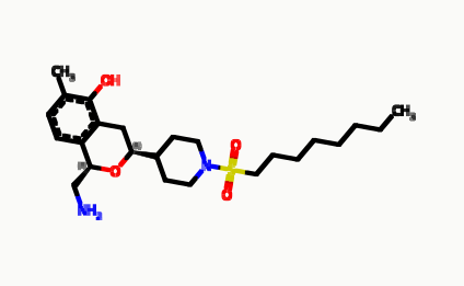 CCCCCCCCS(=O)(=O)N1CCC([C@@H]2Cc3c(ccc(C)c3O)[C@H](CN)O2)CC1